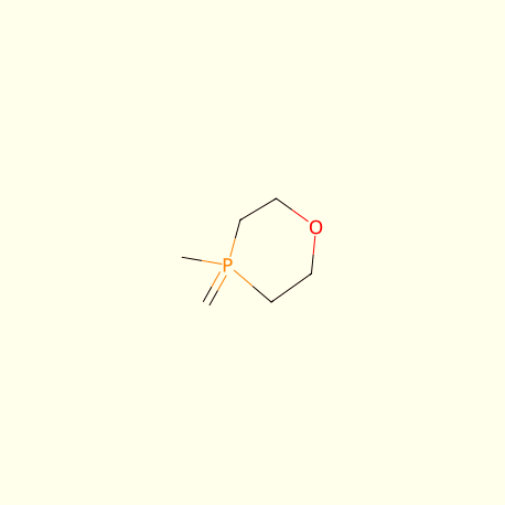 C=P1(C)CCOCC1